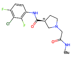 CC(C)(C)NC(=O)CN1CC[C@H](C(=O)Nc2ccc(F)c(Cl)c2F)C1